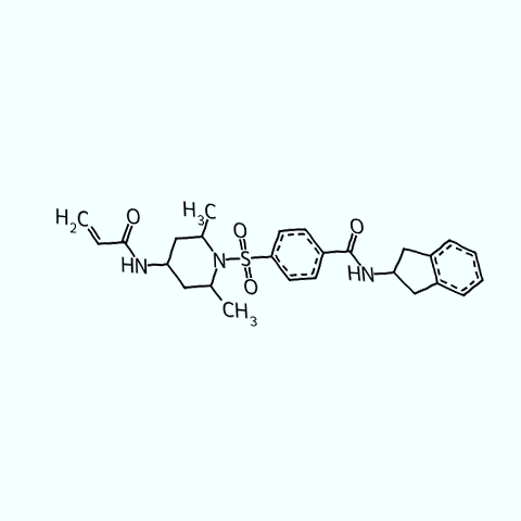 C=CC(=O)NC1CC(C)N(S(=O)(=O)c2ccc(C(=O)NC3Cc4ccccc4C3)cc2)C(C)C1